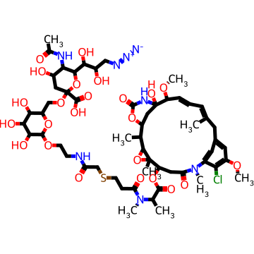 COc1cc2cc(c1Cl)N(C)C(=O)CC(OC(=O)C(C)N(C)C(=O)CCSCC(=O)NCCOC1OC(COC3(C(=O)O)CC(O)C(NC(C)=O)C(C(O)C(O)CN=[N+]=[N-])O3)C(O)C(O)C1O)C1(C)OC1C(C)C1CC(O)(NC(=O)O1)C(OC)/C=C/C=C(\C)C2